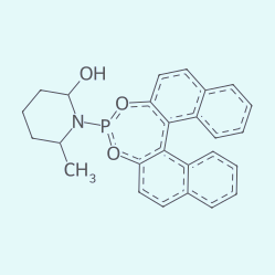 CC1CCCC(O)N1p1oc2ccc3ccccc3c2c2c(ccc3ccccc32)o1